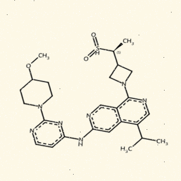 COC1CCN(c2nccc(Nc3cc4c(C(C)C)cnc(N5CC([C@H](C)[SH](=O)=O)C5)c4cn3)n2)CC1